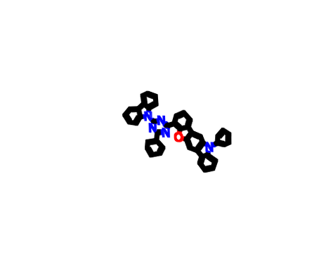 c1ccc(-c2nc(-c3cccc4c3oc3cc5c6ccccc6n(-c6ccccc6)c5cc34)nc(-n3c4ccccc4c4ccccc43)n2)cc1